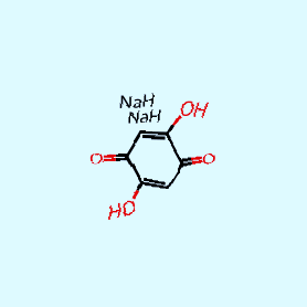 O=C1C=C(O)C(=O)C=C1O.[NaH].[NaH]